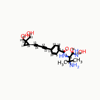 CC(C)(N)C(NC(=O)c1ccc(C#CC#C[C@H]2CC2(CO)CO)cc1)C(=O)NO